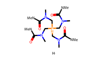 CNC(=O)N(C)C[PH](CN(C)C(=O)NC)(CN(C)C(=O)NC)CN(C)C(=O)NC.[H]